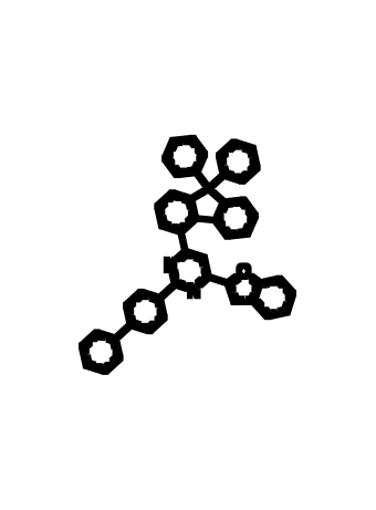 c1ccc(-c2ccc(-c3nc(-c4cc5ccccc5o4)cc(-c4cccc5c4-c4ccccc4C5(c4ccccc4)c4ccccc4)n3)cc2)cc1